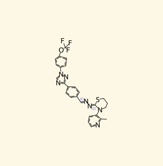 Cc1ncccc1N1CCCS/C1=N\N=C\c1ccc(-c2ncn(-c3ccc(OC(F)(F)F)cc3)n2)cc1